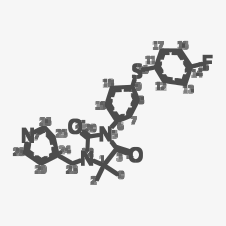 CC1(C)C(=O)N(c2ccc(Sc3ccc(F)cc3)cc2)C(=O)N1Cc1ccncc1